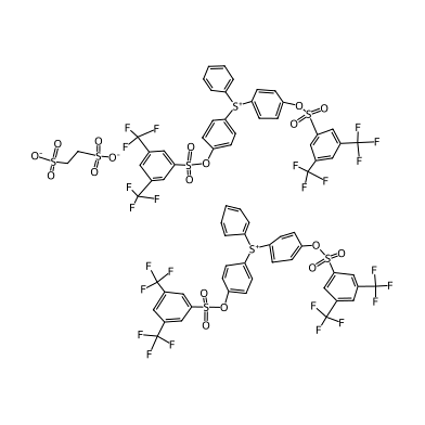 O=S(=O)(Oc1ccc([S+](c2ccccc2)c2ccc(OS(=O)(=O)c3cc(C(F)(F)F)cc(C(F)(F)F)c3)cc2)cc1)c1cc(C(F)(F)F)cc(C(F)(F)F)c1.O=S(=O)(Oc1ccc([S+](c2ccccc2)c2ccc(OS(=O)(=O)c3cc(C(F)(F)F)cc(C(F)(F)F)c3)cc2)cc1)c1cc(C(F)(F)F)cc(C(F)(F)F)c1.O=S(=O)([O-])CCS(=O)(=O)[O-]